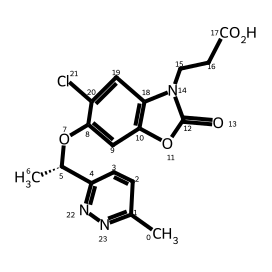 Cc1ccc([C@H](C)Oc2cc3oc(=O)n(CCC(=O)O)c3cc2Cl)nn1